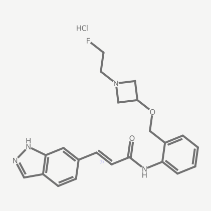 Cl.O=C(/C=C/c1ccc2cn[nH]c2c1)Nc1ccccc1COC1CN(CCF)C1